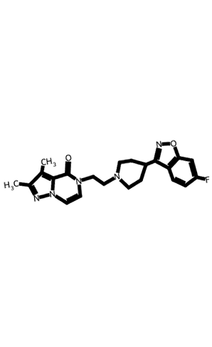 Cc1nn2ccn(CCN3CCC(c4noc5cc(F)ccc45)CC3)c(=O)c2c1C